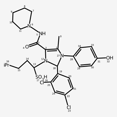 CC1=C(C(=O)NN2CCCCC2)N(C(CCC(C)C)S(=O)(=O)O)C(c2ccc(Cl)cc2Cl)N1c1ccc(O)cc1